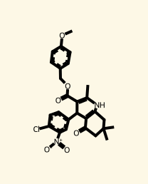 COc1ccc(COC(=O)C2=C(C)NC3=C(C(=O)CC(C)(C)C3)C2c2ccc(Cl)c([N+](=O)[O-])c2)cc1